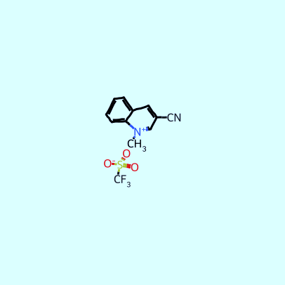 C[n+]1cc(C#N)cc2ccccc21.O=S(=O)([O-])C(F)(F)F